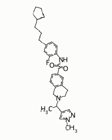 CC(c1cnn(C)c1)N1CCc2cc(S(=O)(=O)Nc3ccc(CCCC4CCCC4)cc3F)ccc2C1